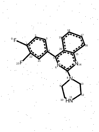 Fc1ccc(-c2nc(N3CCNCC3)nc3ccccc23)cc1F